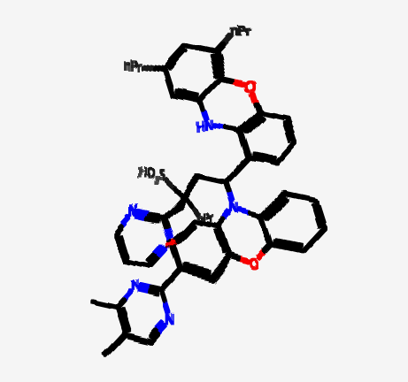 CCCc1cc(CCC)c2c(c1)Nc1c(cccc1C(CC(CCC)(c1ncccn1)S(=O)(=O)O)N1c3ccccc3Oc3cc(-c4ncc(C)c(C)n4)ccc31)O2